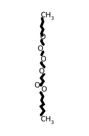 CCCCCCCCOC(=O)CCCOCCOCCOCCOCCCCCC